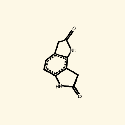 O=C1Cc2c(ccc3c2NC(=O)C3)N1